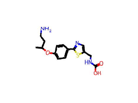 CC(CCN)Oc1ccc(-c2ncc(CNC(=O)O)s2)cc1